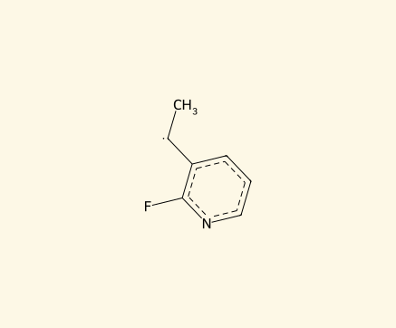 C[CH]c1cccnc1F